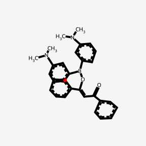 CN(C)c1cccc(B(O/C(=C\C(=O)c2ccccc2)c2ccccc2)c2cccc(N(C)C)c2)c1